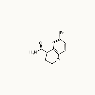 CC(C)c1ccc2c(c1)C(C(N)=O)CCO2